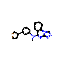 CN(c1cccc(-c2ccsc2)c1)c1nc2nncn2c2ccccc12